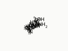 CCC[C@@H](CCO)Nc1nc(N)nc2cnn(Cc3ncc(C4CCCCN4C(=O)OC(C)(C)C)cc3OC)c12